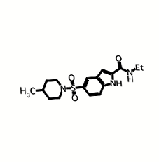 CCNC(=O)c1cc2cc(S(=O)(=O)N3CCC(C)CC3)ccc2[nH]1